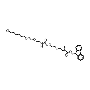 O=C(COCCOCCNC(=O)OCC1c2ccccc2-c2ccccc21)NCCOCCOCCCCCCCl